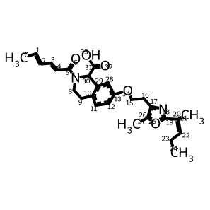 CC=CC=CC(=O)N1CCc2ccc(OCCc3nc(/C(C)=C\CC)oc3C)cc2C1C(=O)O